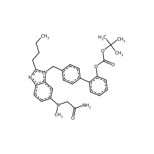 CCCCc1nc2ccc(N(C)CC(N)=O)cc2n1Cc1ccc(-c2ccccc2OC(=O)OC(C)(C)C)cc1